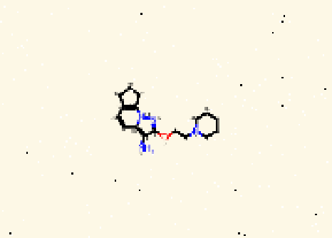 Nc1c(OCCN2CCCCC2)nn2c3c(ccc12)CCC3